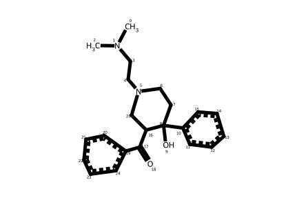 CN(C)CCN1CCC(O)(c2ccccc2)C(C(=O)c2ccccc2)C1